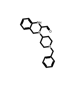 O=CC1Nc2ccccc2CN1C1CCN(Cc2ccccc2)CC1